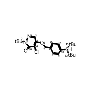 CC(C)(C)n1ncc(OCc2ccc([SH](C(C)(C)C)C(C)(C)C)cc2)c(Cl)c1=O